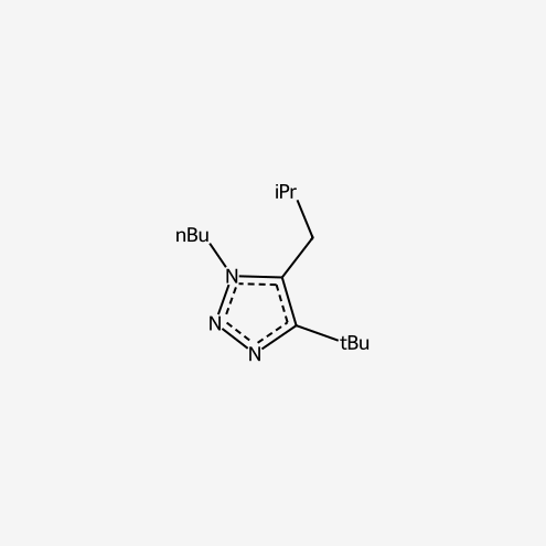 CCCCn1nnc(C(C)(C)C)c1CC(C)C